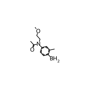 Bc1ccc(N(CCOC)C(C)=O)cc1C